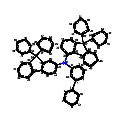 c1ccc(-c2cccc(N(c3ccc4c(c3)C(c3ccccc3)(c3ccccc3)c3ccccc3-4)c3cccc4c3-c3ccccc3C4(c3ccccc3)c3ccccc3)c2)cc1